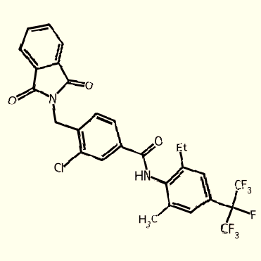 CCc1cc(C(F)(C(F)(F)F)C(F)(F)F)cc(C)c1NC(=O)c1ccc(CN2C(=O)c3ccccc3C2=O)c(Cl)c1